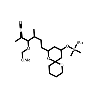 COCOC(C(C)=C=O)C(C)CCC1CC(O[Si](C)(C)C(C)(C)C)CC2(CCCCO2)O1